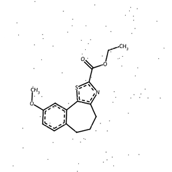 CCOC(=O)c1nc2c(s1)-c1cc(OC)ccc1CCC2